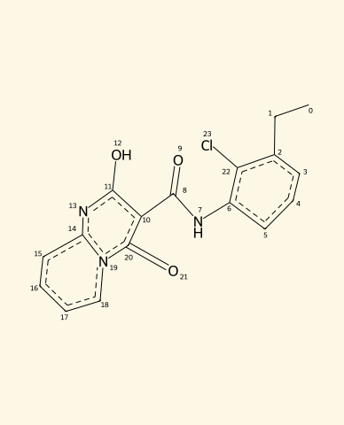 CCc1cccc(NC(=O)c2c(O)nc3ccccn3c2=O)c1Cl